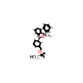 CC(C)(OCC1CCC[C@@H](CO[Si](c2ccccc2)(c2ccccc2)C(C)(C)C)C1)C(=O)O